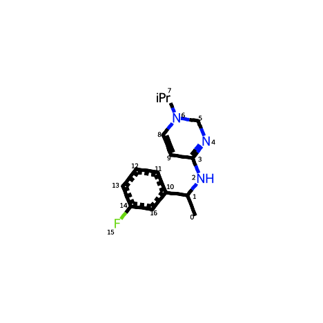 CC(NC1=NCN(C(C)C)C=C1)c1cccc(F)c1